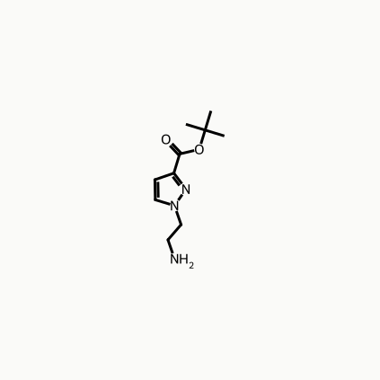 CC(C)(C)OC(=O)c1ccn(CCN)n1